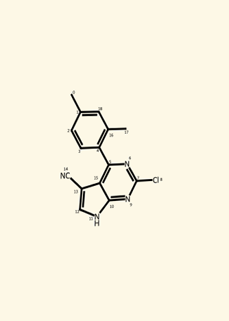 Cc1ccc(-c2nc(Cl)nc3[nH]cc(C#N)c23)c(C)c1